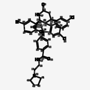 O=C1C[C@@H](c2cccc(Cl)c2)[C@]2(C(=O)Nc3cc(Cl)ccc32)[C@@H](c2cc(Br)ccc2Oc2ccc(C(=O)NCCN3CCCC3)cc2)N1